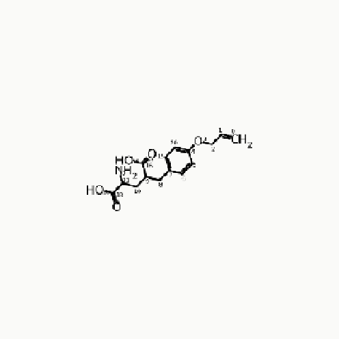 C=CCOc1ccc(CC(CC(N)C(=O)O)C(=O)O)cc1